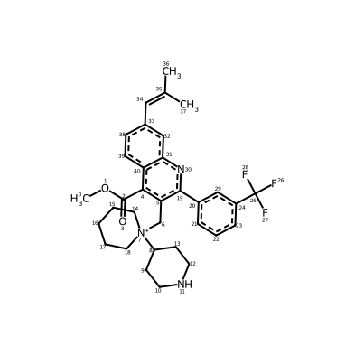 COC(=O)c1c(C[N+]2(C3CCNCC3)CCCCC2)c(-c2cccc(C(F)(F)F)c2)nc2cc(C=C(C)C)ccc12